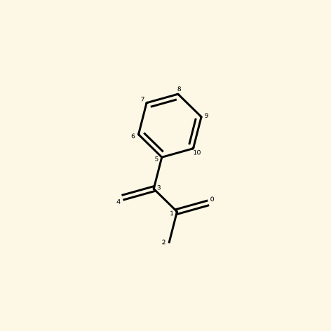 C=C(C)C(=C)c1ccccc1